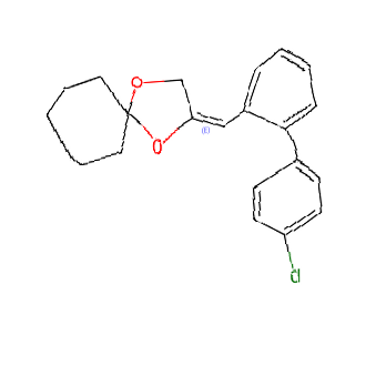 Clc1ccc(-c2ccccc2/C=C2\COC3(CCCCC3)O2)cc1